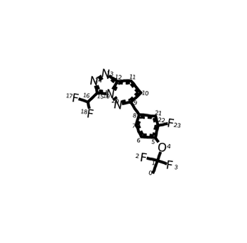 CC(F)(F)Oc1ccc(-c2ccc3nnc(C(F)F)n3n2)cc1F